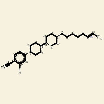 N#Cc1ccc([C@H]2CC[C@H]([C@H]3CC[C@H](CCCCC/C=C/F)CC3)CC2)cc1F